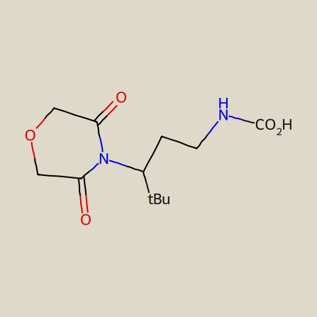 CC(C)(C)C(CCNC(=O)O)N1C(=O)COCC1=O